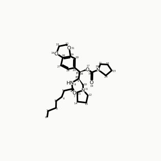 CCCCCCC(=O)N[C@H](CN1CCCC1)[C@H](OC(=O)N1CCCC1)c1ccc2c(c1)OCCO2